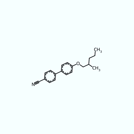 CCCC(C)COc1ccc(-c2ccc(C#N)cc2)cc1